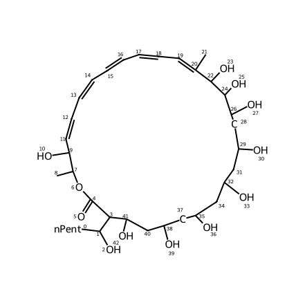 CCCCCC(O)C1C(=O)OC(C)C(O)\C=C/C=C\C=C/C=C\C=C(\C)C(O)C(O)C(O)CC(O)CC(O)CC(O)CC(O)CC1O